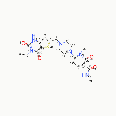 CCn1c(=O)[nH]c2cc(CN3CCN(c4ccc(C(=O)NC)c(=O)n4C)CC3)sc2c1=O